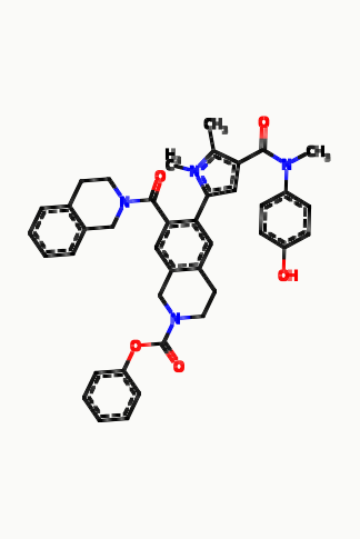 Cc1c(C(=O)N(C)c2ccc(O)cc2)cc(-c2cc3c(cc2C(=O)N2CCc4ccccc4C2)CN(C(=O)Oc2ccccc2)CC3)n1C